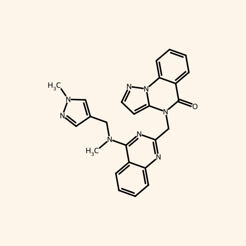 CN(Cc1cnn(C)c1)c1nc(Cn2c(=O)c3ccccc3n3nccc23)nc2ccccc12